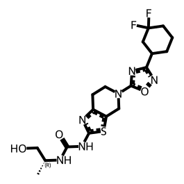 C[C@H](CO)NC(=O)Nc1nc2c(s1)CN(c1nc(C3CCCC(F)(F)C3)no1)CC2